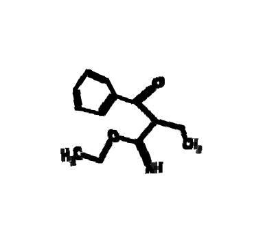 CCOC(=N)C(CC)C(=O)c1ccccc1